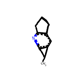 CC1c2cc3c(nc21)CCC3